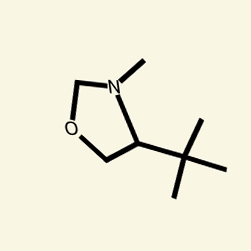 CN1COCC1C(C)(C)C